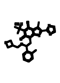 Cc1ccccc1C(Cn1c(=O)n(C(C)(C)C(=O)O)c(=O)c2c(C)c(-c3ncco3)sc21)OCC1COC1